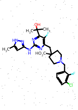 Cc1cc(Nc2nc(CC3(C(=O)O)CCN(Cc4cccc(Cl)c4F)CC3)c(F)c(C(C)(C)O)n2)n[nH]1